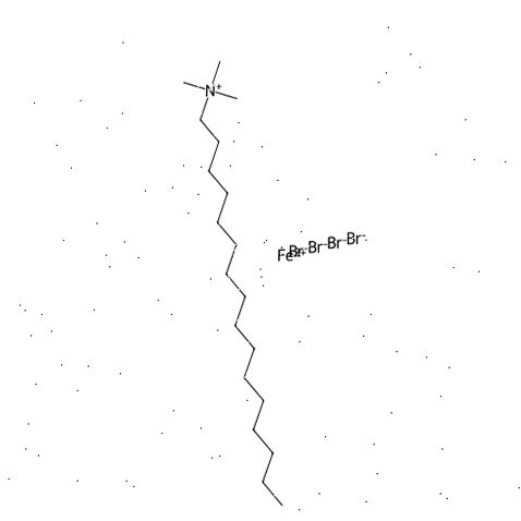 CCCCCCCCCCCCCCCC[N+](C)(C)C.[Br-].[Br-].[Br-].[Br-].[Fe+3]